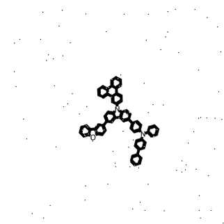 c1ccc(-c2ccc(N(c3ccccc3)c3ccc(-c4ccc5c(c4)c4cc(-c6ccc7oc8ccccc8c7c6)ccc4n5-c4ccc5c6ccccc6c6ccccc6c5c4)cc3)cc2)cc1